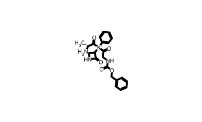 C[C@@H](N)C(=O)[N+](C(=O)CNC(=O)OCc1ccccc1)(c1ccccc1)C1CNC1=O